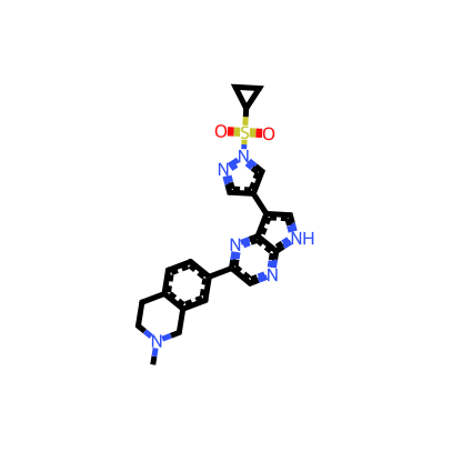 CN1CCc2ccc(-c3cnc4[nH]cc(-c5cnn(S(=O)(=O)C6CC6)c5)c4n3)cc2C1